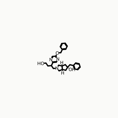 OCCC(CN1C[C@@H]2C[C@@](O)(Cc3ccccc3)C[C@@H]2C1)c1cnc(OCc2ccccc2)cn1